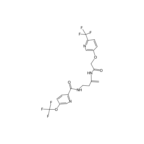 C=C(CCNC(=O)c1ccc(OC(F)(F)F)cn1)NC(=O)COc1ccc(C(F)(F)F)nc1